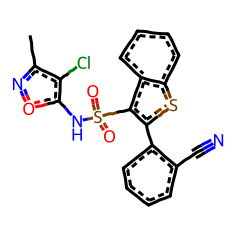 Cc1noc(NS(=O)(=O)c2c(-c3ccccc3C#N)sc3ccccc23)c1Cl